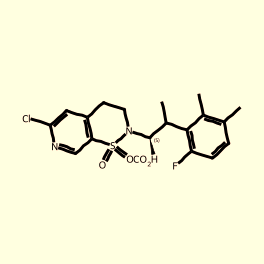 Cc1ccc(F)c(C(C)[C@@H](C(=O)O)N2CCc3cc(Cl)ncc3S2(=O)=O)c1C